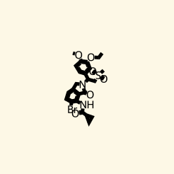 CCOc1cc(C(CS(C)(=O)=O)N2Cc3ccc(Br)c(NC(=O)C4CC4)c3C2=O)ccc1OC